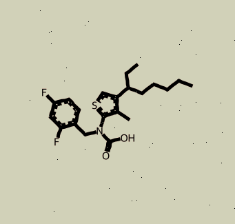 CCCCCC(CC)c1csc(N(Cc2ccc(F)cc2F)C(=O)O)c1C